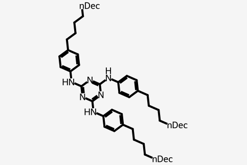 CCCCCCCCCCCCCCc1ccc(Nc2nc(Nc3ccc(CCCCCCCCCCCCCC)cc3)nc(Nc3ccc(CCCCCCCCCCCCCC)cc3)n2)cc1